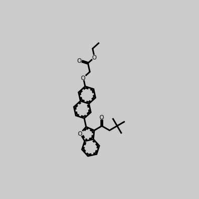 CCOC(=O)COc1ccc2cc(-c3oc4ccccc4c3C(=O)CC(C)(C)C)ccc2c1